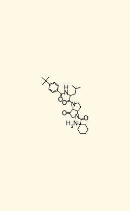 CC(C)CC(NC(=O)c1ccc(C(C)(C)C)cc1)C(=O)N1CCC2C1C(=O)CN2C(=O)C1(N)CCCCC1